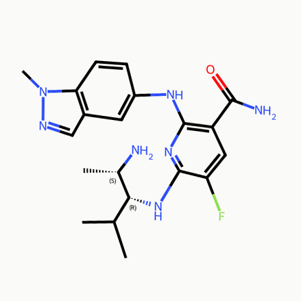 CC(C)[C@@H](Nc1nc(Nc2ccc3c(cnn3C)c2)c(C(N)=O)cc1F)[C@H](C)N